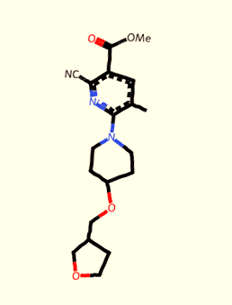 COC(=O)c1cc(C)c(N2CCC(OCC3CCOC3)CC2)nc1C#N